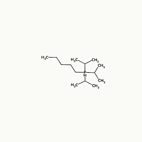 CCCCC[PH](C(C)C)(C(C)C)C(C)C